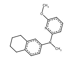 COc1cccc(N(C)c2ccc3c(c2)CCCC3)n1